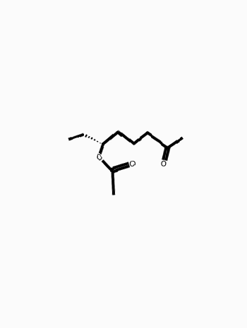 CC[C@H](CCCC(C)=O)OC(C)=O